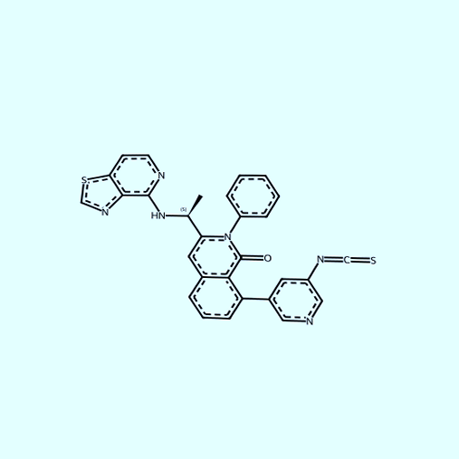 C[C@H](Nc1nccc2scnc12)c1cc2cccc(-c3cncc(N=C=S)c3)c2c(=O)n1-c1ccccc1